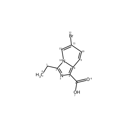 CCc1nc(C(=O)O)c2ccc(Br)cn12